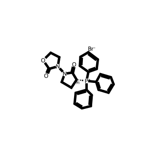 O=C1OCCN1N1CC[C@@H]([P+](c2ccccc2)(c2ccccc2)c2ccccc2)C1=O.[Br-]